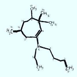 CCCCN(CC)C1=CC(C)(C)C(C)CC(C)C1